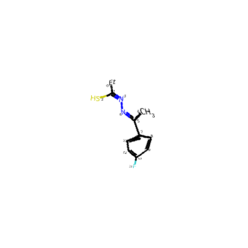 CCC(S)=NN=C(C)c1ccc(F)cc1